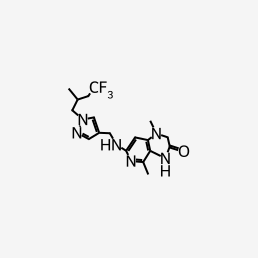 Cc1nc(NCc2cnn(CC(C)CC(F)(F)F)c2)cc2c1NC(=O)CN2C